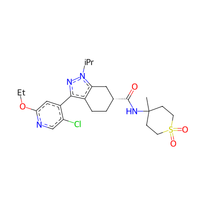 CCOc1cc(-c2nn(C(C)C)c3c2CC[C@@H](C(=O)NC2(C)CCS(=O)(=O)CC2)C3)c(Cl)cn1